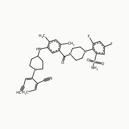 C#C/C=C(\C(C#N)=C/C)N1CCC(Nc2cc(C(=O)N3CCN(c4c(F)cc(F)cc4S(N)(=O)=O)CC3)c(C)cc2C)CC1